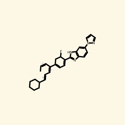 C\C=C/C(=C\C=C\C1CCCCC1)C1=CC=C(c2nc3ccc(-n4cccn4)cc3[nH]2)C(F)C1